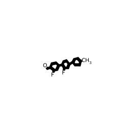 Cc1ccc(-c2ccc(-c3ccc(C=O)c(F)c3)c(F)c2)cc1